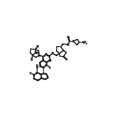 C#Cc1c(F)ccc2cccc(-c3ncc4c(N5C[C@H]6CC[C@@H](C5)N6)nc(OC[C@@]56CC[C@@H](COC(=O)N7CC(C(F)(F)F)C7)N5CC(=C)C6)nc4c3F)c12